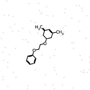 C=C1C=C(C)CC(OCCOc2ccccc2)C1